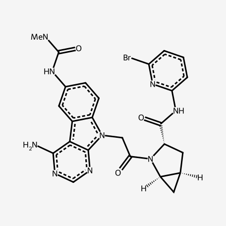 CNC(=O)Nc1ccc2c(c1)c1c(N)ncnc1n2CC(=O)N1[C@@H]2C[C@@H]2C[C@H]1C(=O)Nc1cccc(Br)n1